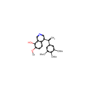 C=C(c1cc(OC)c(OC)c(OC)c1)c1cncc2c(O)c(OCC)ccc12